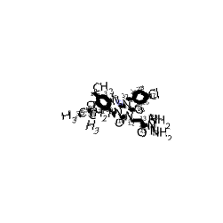 CCc1cc(/N=c2\n(N)c(=O)n(CCC(=O)N(N)N)c(=O)n2Cc2ccc(Cl)cc2)ccc1OC(C)C